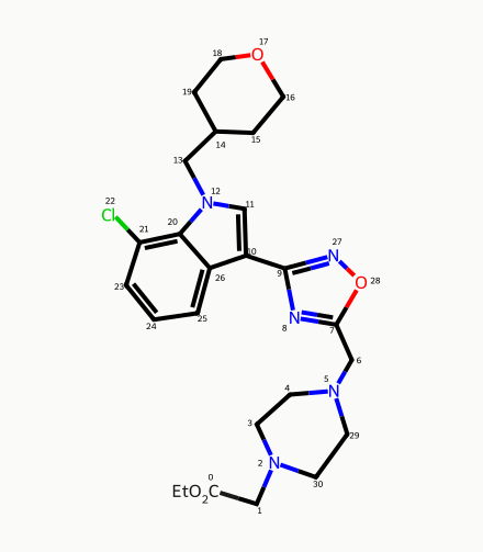 CCOC(=O)CN1CCN(Cc2nc(-c3cn(CC4CCOCC4)c4c(Cl)cccc34)no2)CC1